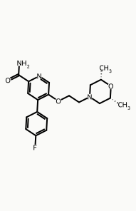 C[C@@H]1CN(CCOc2cnc(C(N)=O)cc2-c2ccc(F)cc2)C[C@H](C)O1